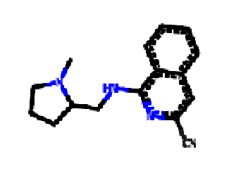 CN1CCCC1CNc1nc(C#N)cc2ccccc12